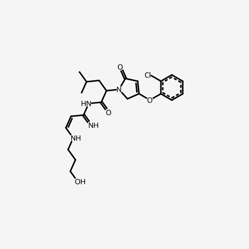 CC(C)CC(C(=O)NC(=N)/C=C\NCCCO)N1CC(Oc2ccccc2Cl)=CC1=O